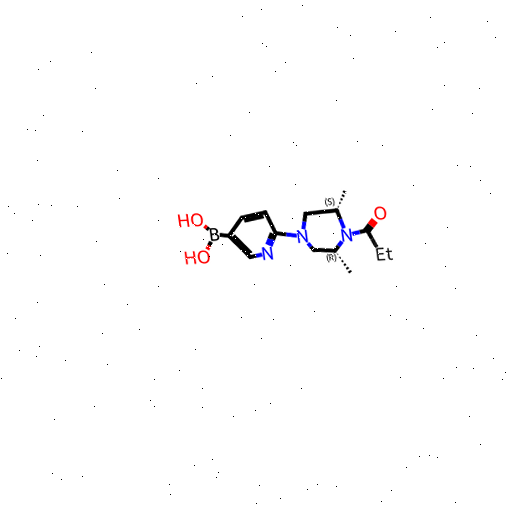 CCC(=O)N1[C@H](C)CN(c2ccc(B(O)O)cn2)C[C@@H]1C